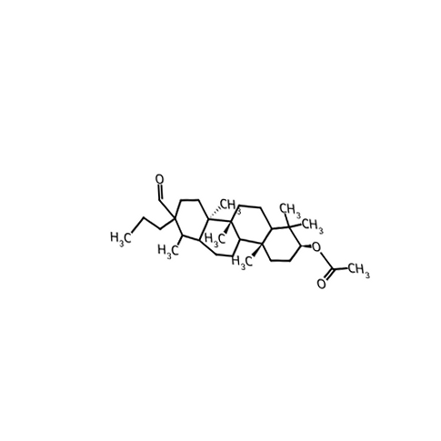 CCCC1(C=O)CC[C@]2(C)C(CCC3[C@@]4(C)CC[C@H](OC(C)=O)C(C)(C)C4CC[C@]32C)C1C